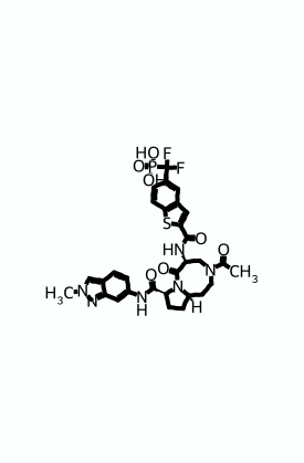 CC(=O)N1CC[C@H]2CC[C@@H](C(=O)Nc3ccc4cn(C)nc4c3)N2C(=O)[C@@H](NC(=O)c2cc3cc(C(F)(F)P(=O)(O)O)ccc3s2)C1